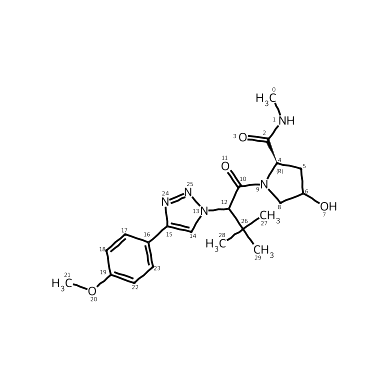 CNC(=O)[C@H]1CC(O)CN1C(=O)C(n1cc(-c2ccc(OC)cc2)nn1)C(C)(C)C